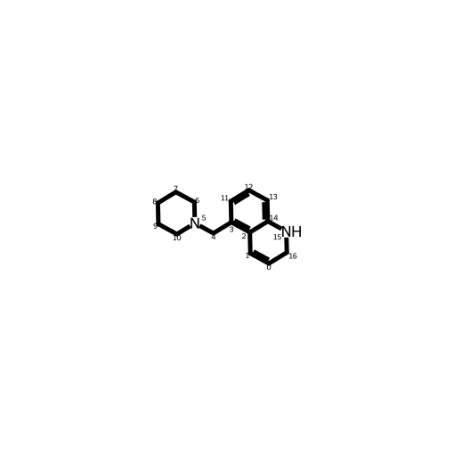 C1=Cc2c(CN3CCCCC3)cccc2NC1